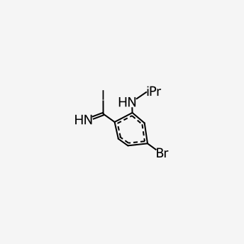 CC(C)Nc1cc(Br)ccc1C(=N)I